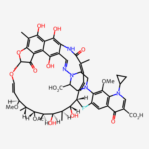 COc1c(N2CCN(/N=C/c3c4c(O)c5c(O)c(C)c6c(c5c3O)C(=O)[C@@](C)(O/C=C/[C@H](OC)[C@@H](C)[C@@H](OC(C)=O)[C@H](C)[C@H](O)[C@H](C)[C@@H](O)[C@@H](C)/C=C/C=C(/C)C(=O)N4)O6)C(C(=O)O)C2)c(F)cc2c(=O)c(C(=O)O)cn(C3CC3)c12